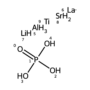 O=P(O)(O)O.[AlH3].[La].[LiH].[SrH2].[Ti]